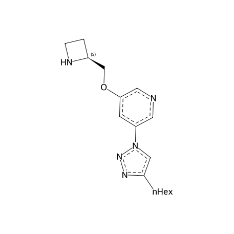 CCCCCCc1cn(-c2cncc(OC[C@@H]3CCN3)c2)nn1